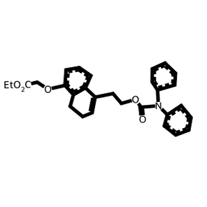 CCOC(=O)COc1cccc2c1CCC=C2CCOC(=O)N(c1ccccc1)c1ccccc1